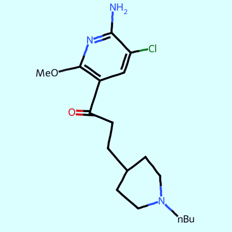 CCCCN1CCC(CCC(=O)c2cc(Cl)c(N)nc2OC)CC1